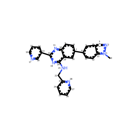 Cn1ncc2cc(-c3ccc4nc(-c5cccnc5)nc(NCc5ccccn5)c4c3)ccc21